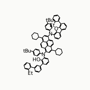 CCc1ccccc1-c1cccc(-c2cccc(N(c3ccc(C(C)(C)C)cc3)c3cc(C4CCCCC4)c4ccc5c(N(c6ccc(C(C)(C)C)cc6)c6cccc7c6oc6c(-c8ccccc8CC)cccc67)cc(C6CCCCC6)c6ccc3c4c65)c2O)c1